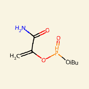 C=C(O[PH](=O)OCC(C)C)C(N)=O